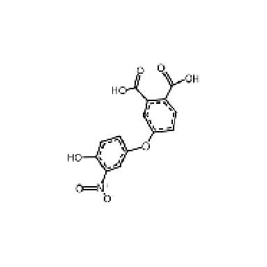 O=C(O)c1ccc(Oc2ccc(O)c([N+](=O)[O-])c2)cc1C(=O)O